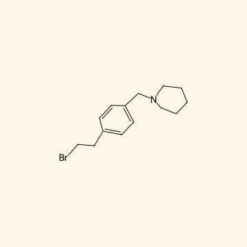 BrCCc1ccc(CN2CCCCC2)cc1